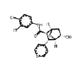 O=C(Nc1ccc(Cl)c(Cl)c1)[C@@H]1[C@@H](c2ccncc2)[C@H]2O[C@@H]1C[C@@H]2O